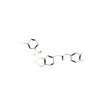 CC(=O)c1cccc(S(=O)(=O)N2NCc3ccc(NC(=O)Cc4ccc(F)c(F)c4)cc32)c1